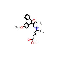 COc1ccc(-c2c(-c3ccccc3)oc(C)c2CNC(C)CCCCC(=O)O)cc1